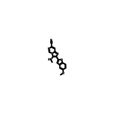 CNc1c(-c2cc3cc(OC)ccc3o2)nc2cc(C#N)ncn12